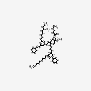 CCCCCCCCCC(=O)OC(CCCCC1(CCCCC(CSC2CCCCC2)OC(=O)CCCCCCCCC)OCC(CO)(COC(=O)CCN(C)C)CO1)CSC1CCCCC1